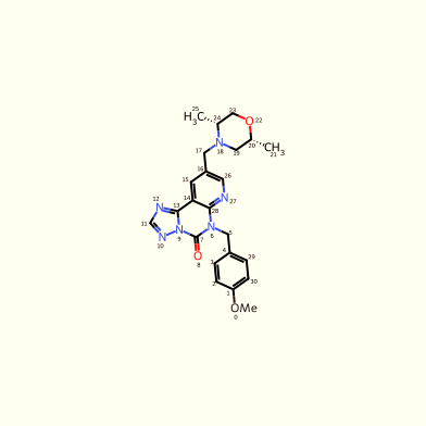 COc1ccc(Cn2c(=O)n3ncnc3c3cc(CN4C[C@@H](C)OC[C@H]4C)cnc32)cc1